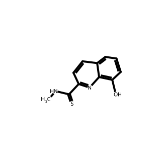 CNC(=S)c1ccc2cccc(O)c2n1